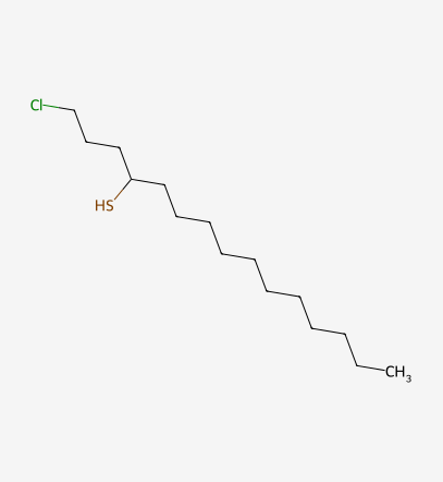 CCCCCCCCCCCC(S)CCCCl